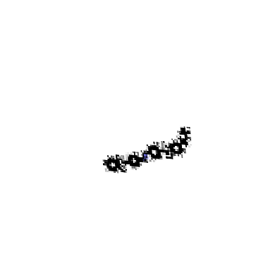 CC(C)(C)CC(C)(C)c1ccc2oc(-c3ccc(/C=C/c4ccc(-c5nc6ccccc6o5)cc4)cc3)nc2c1